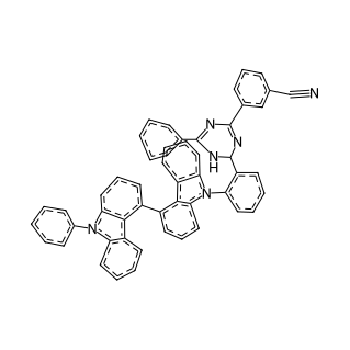 N#Cc1cccc(C2=NC(c3ccccc3-n3c4ccccc4c4c(-c5cccc6c5c5ccccc5n6-c5ccccc5)cccc43)NC(c3ccccc3)=N2)c1